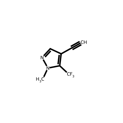 C#Cc1cnn(C)c1C(F)(F)F